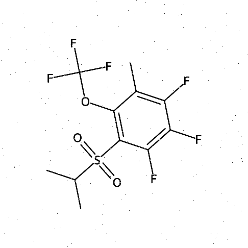 Cc1c(F)c(F)c(F)c(S(=O)(=O)C(C)C)c1OC(F)(F)F